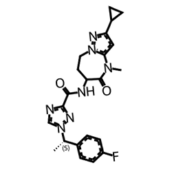 C[C@@H](c1ccc(F)cc1)n1cnc(C(=O)NC2CCn3nc(C4CC4)cc3N(C)C2=O)n1